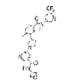 Cc1ccc(C(=O)Nc2cncc(C(F)(F)F)c2)cc1C1CCN(c2cncc(C(=O)NC3COC3)c2)C1